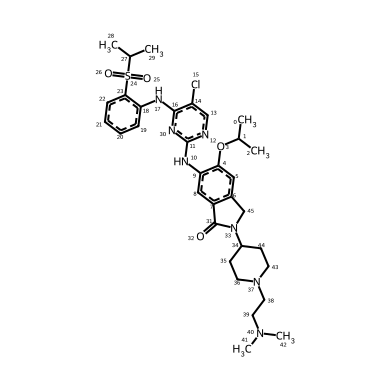 CC(C)Oc1cc2c(cc1Nc1ncc(Cl)c(Nc3ccccc3S(=O)(=O)C(C)C)n1)C(=O)N(C1CCN(CCN(C)C)CC1)C2